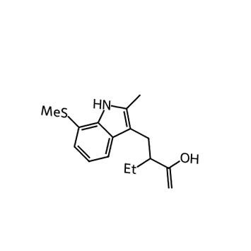 C=C(O)C(CC)Cc1c(C)[nH]c2c(SC)cccc12